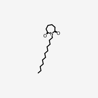 CCCCCCCCCCCCN1C(=O)CCCCC1=O